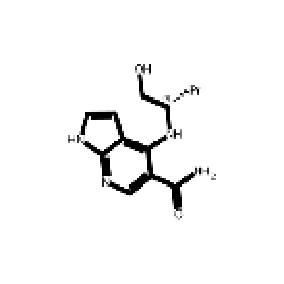 CC(C)[C@@H](CO)Nc1c(C(N)=O)cnc2[nH]ccc12